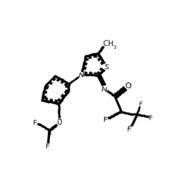 Cc1cn(-c2cccc(OC(F)F)c2)c(=NC(=O)C(F)C(F)(F)F)s1